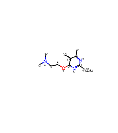 CC1=NC(C(C)(C)C)=NC(OCCN(C)C)C1C